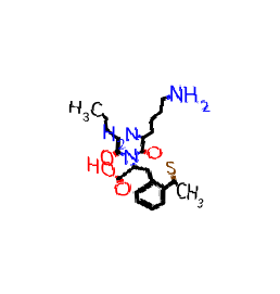 CCCCC(=O)N(C(=O)C(N)CCCCN)C(Cc1ccccc1C(C)=S)C(=O)O